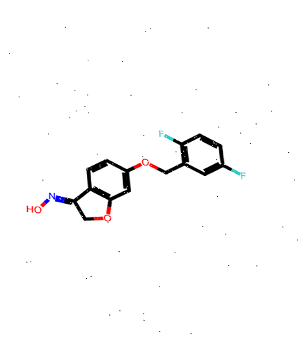 ON=C1COc2cc(OCc3cc(F)ccc3F)ccc21